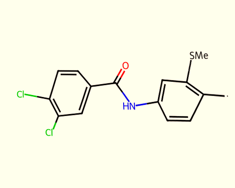 [CH2]c1ccc(NC(=O)c2ccc(Cl)c(Cl)c2)cc1SC